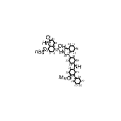 CCCCOc1ccc([C@@H](O)CN(CCc2ccc(Nc3ccc(OC)c(-c4ccccc4)c3)cc2)Cc2ccccc2)c2ccc(=O)[nH]c12